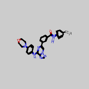 O=C(O)c1ccc(NC(=O)c2cccc(-c3cn4ncnc4c(Nc4ccc(N5CCOCC5)cc4)n3)c2)cc1